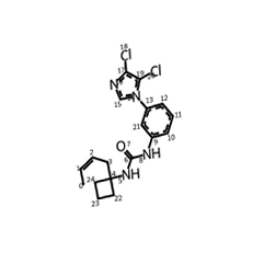 C/C=C\CC1(NC(=O)Nc2cccc(-n3cnc(Cl)c3Cl)c2)CCC1